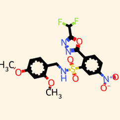 COc1ccc(CNS(=O)(=O)c2cc([N+](=O)[O-])ccc2-c2nnc(C(F)F)o2)c(OC)c1